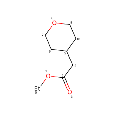 CCOC(=O)CC1C[C]OCC1